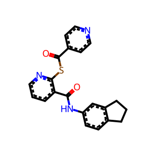 O=C(Sc1ncccc1C(=O)Nc1ccc2c(c1)CCC2)c1ccncc1